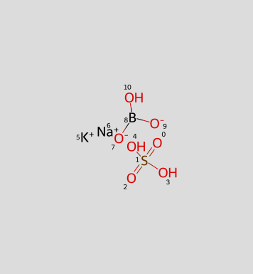 O=S(=O)(O)O.[K+].[Na+].[O-]B([O-])O